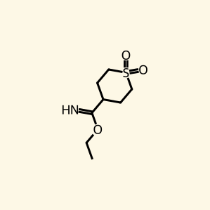 CCOC(=N)C1CCS(=O)(=O)CC1